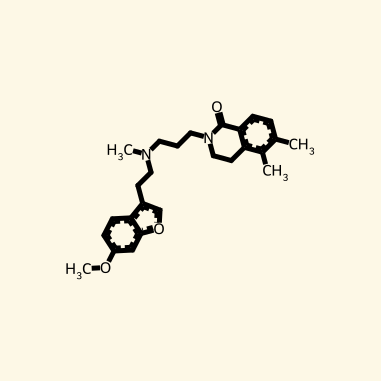 COc1ccc2c(CCN(C)CCCN3CCc4c(ccc(C)c4C)C3=O)coc2c1